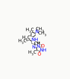 CC/C=C(\C/C(C)=N/c1c(C)c(=O)[nH]c(=O)n1C1CC1)Nc1cc(N(C)C)c(C)cc1C